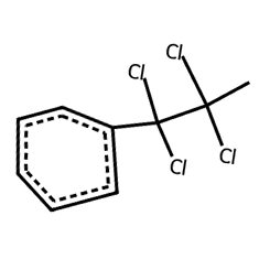 CC(Cl)(Cl)C(Cl)(Cl)c1ccccc1